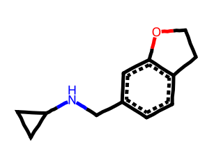 c1cc2c(cc1CNC1CC1)OCC2